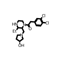 CCC1NCCN(C(=O)Cc2ccc(Cl)c(Cl)c2)C1CN1CC[C@H](O)C1